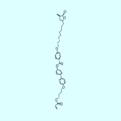 C=CC(=O)OCCCCOc1ccc(-c2ccc(OC(=O)c3ccc(OCCCCCCCCCC4CC(=C)C(=O)O4)cc3)cc2)cc1